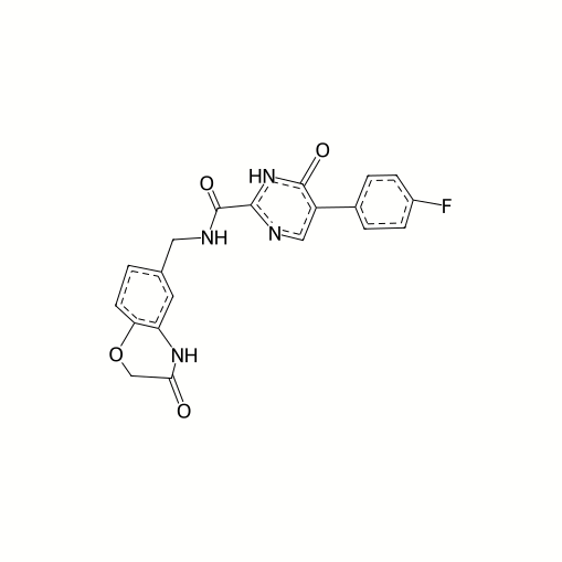 O=C1COc2ccc(CNC(=O)c3ncc(-c4ccc(F)cc4)c(=O)[nH]3)cc2N1